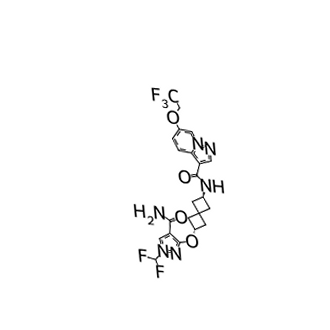 NC(=O)c1cn(C(F)F)nc1O[C@H]1CC2(C[C@H](NC(=O)c3cnn4cc(OCC(F)(F)F)ccc34)C2)C1